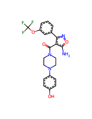 Nc1onc(-c2cccc(OC(F)(F)F)c2)c1C(=O)N1CCN(c2ccc(O)cc2)CC1